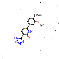 CCCOc1cc(-c2ccc(-c3nnn[nH]3)c(=O)[nH]2)ccc1OC